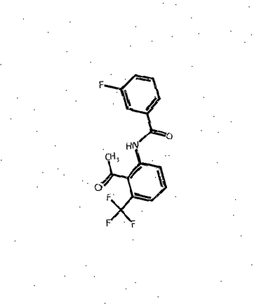 CC(=O)c1c(NC(=O)c2cccc(F)c2)cccc1C(F)(F)F